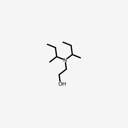 CCC(C)N(CCO)C(C)CC